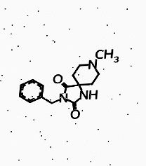 CN1CCC2(CC1)NC(=O)N(Cc1ccccc1)C2=O